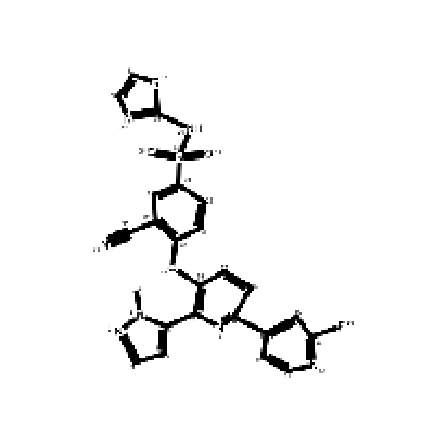 Cn1nccc1-c1nc(-c2ccnc(F)c2)ccc1Oc1ccc(S(=O)(=O)Nc2nccs2)cc1C#N